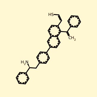 C=C(c1ccccc1)c1c(/C=C\S)ccc2cc(-c3ccc(C[C@H](N)c4ccccc4)cc3)ccc12